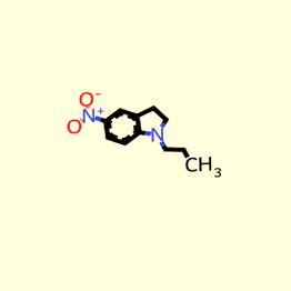 CCCN1CCc2cc([N+](=O)[O-])ccc21